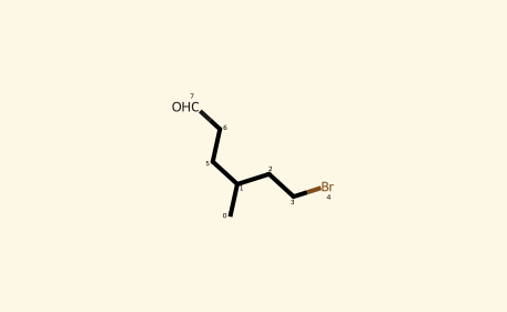 CC(CCBr)CCC=O